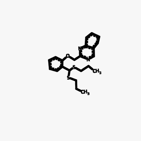 CCCSC(SCCC)c1ccccc1OCc1ncc2ccccc2n1